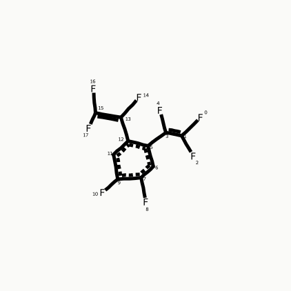 FC(F)=C(F)c1cc(F)c(F)cc1C(F)=C(F)F